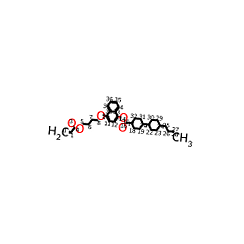 C=CC(=O)OCCCCOc1ccc(OC(=O)C2CCC(C3CCC(CCCC)CC3)CC2)c2ccccc12